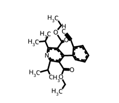 C#Cc1ccccc1-c1c(C(=O)OCC)c(C(C)C)nc(C(C)C)c1C(=O)OCC